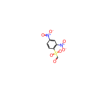 O=CS(=O)(=O)c1ccc([N+](=O)[O-])cc1[N+](=O)[O-]